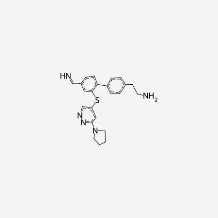 N=Cc1ccc(-c2ccc(CCN)cc2)c(Sc2cnnc(N3CCCC3)c2)c1